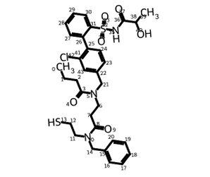 CCCC(=O)N(CCC(=O)N(CCS)Cc1ccccc1)Cc1ccc(-c2ccccc2S(=O)(=O)NC(=O)C(C)O)c(Cl)c1